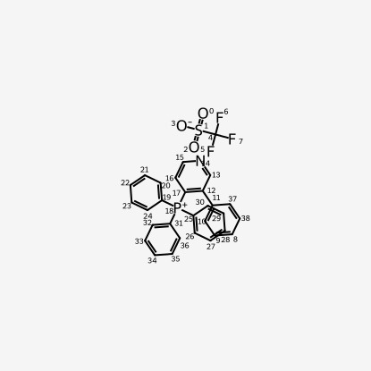 O=S(=O)([O-])C(F)(F)F.c1ccc(-c2cnccc2[P+](c2ccccc2)(c2ccccc2)c2ccccc2)cc1